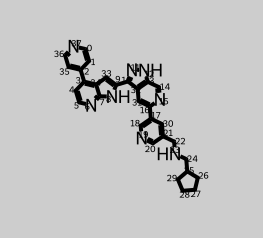 c1cc(-c2ccnc3[nH]c(-c4n[nH]c5cnc(-c6cncc(CNCC7CCCC7)c6)cc45)cc23)ccn1